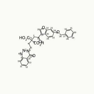 O=C(CC(CCn1nnc2ccccc2c1=O)(C(=O)O)C(=O)O)c1coc2cc(OCc3ccccc3)ccc12